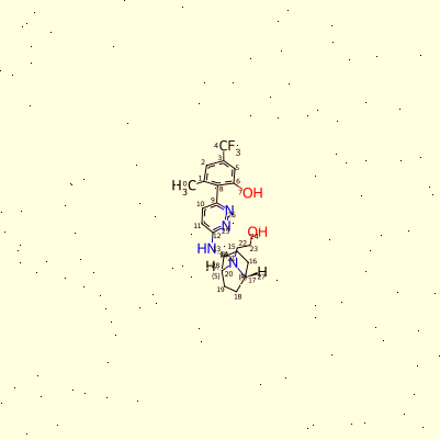 Cc1cc(C(F)(F)F)cc(O)c1-c1ccc(N[C@@H]2CC[C@@H]3CC[C@@H]2N3CCO)nn1